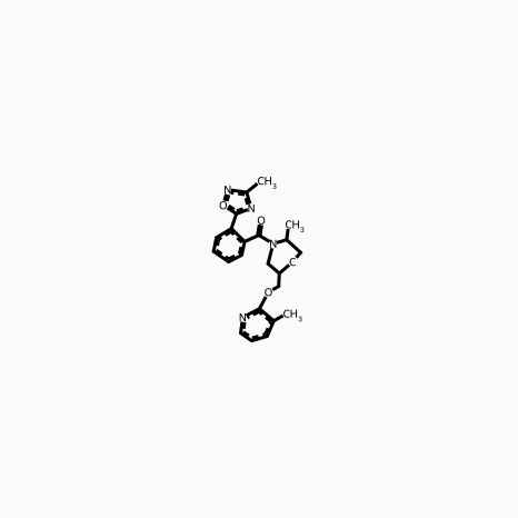 Cc1noc(-c2ccccc2C(=O)N2CC(COc3ncccc3C)CCC2C)n1